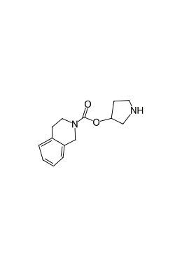 O=C(OC1CCNC1)N1CCc2ccccc2C1